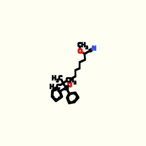 COC(C#N)CCCCCCO[Si](c1ccccc1)(c1ccccc1)C(C)(C)C